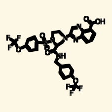 O=C(O)c1cccc2nc(N3CCN(S(=O)(=O)c4ccc(OC(F)(F)F)cc4)C(C(=O)NCc4ccc(OC(F)(F)F)cc4)C3)cnc12